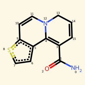 NC(=O)C1=C2c3ccsc3C=CN2CC=C1